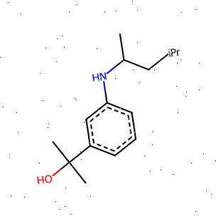 CC(C)CC(C)Nc1cccc(C(C)(C)O)c1